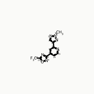 Cn1ncc(-c2cc(-c3noc(C(F)(F)F)n3)ccn2)n1